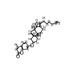 Cc1cc(=O)oc2cc(O[C@@H]3CC[C@@]4(C)C(=CC[C@H]5[C@@H]6CC[C@H]([C@H](C)CCCC(C)C)[C@@]6(C)CC[C@@H]54)C3)ccc12